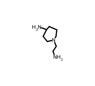 NCCN1CCCC(N)CC1